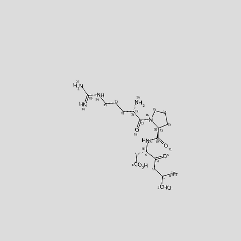 CC(C)C([C]=O)CC(=O)[C@H](CC(=O)O)NC(=O)[C@@H]1CCCN1C(=O)[C@@H](N)CCCNC(=N)N